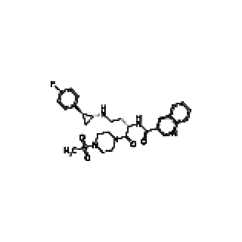 CS(=O)(=O)N1CCN(C(=O)[C@H](CCN[C@@H]2C[C@H]2c2ccc(F)cc2)NC(=O)c2cnc3ccccc3c2)CC1